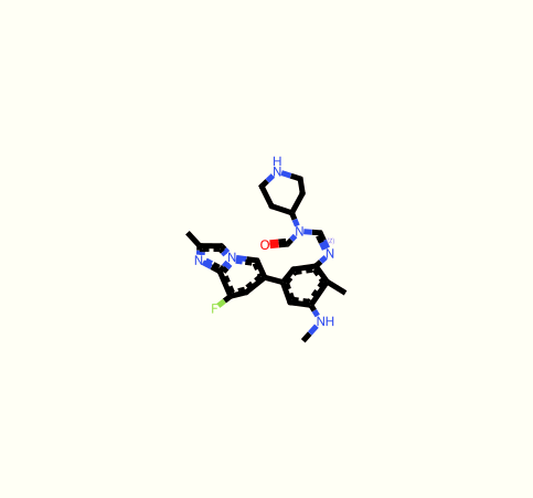 CNc1cc(-c2cc(F)c3nc(C)cn3c2)cc(/N=C\N(C=O)C2CCNCC2)c1C